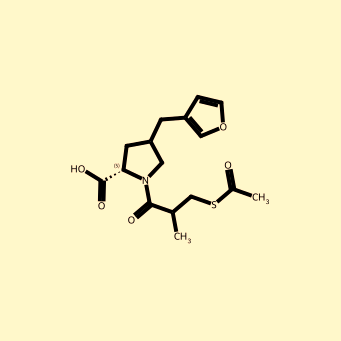 CC(=O)SCC(C)C(=O)N1CC(Cc2ccoc2)C[C@H]1C(=O)O